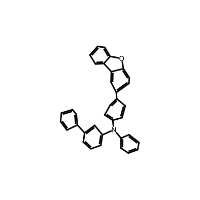 c1ccc(-c2cccc(N(c3ccccc3)c3ccc(-c4ccc5oc6ccccc6c5c4)cc3)c2)cc1